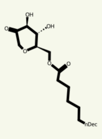 CCCCCCCCCCCCCCCC(=O)OC[C@H]1OCC(=O)[C@@H](O)[C@@H]1O